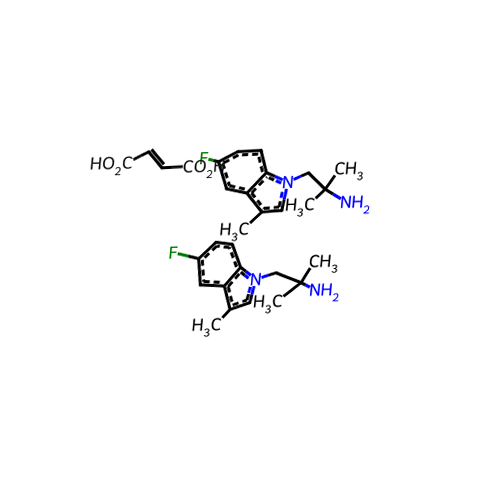 Cc1cn(CC(C)(C)N)c2ccc(F)cc12.Cc1cn(CC(C)(C)N)c2ccc(F)cc12.O=C(O)/C=C/C(=O)O